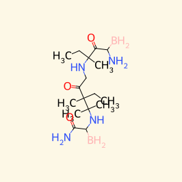 BC(N)C(=O)C(C)(CC)NCC(=O)C(C)(CC)C(C)(C)NC(B)C(N)=O